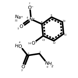 NCC(=O)O.O=[N+]([O-])c1ccccc1[O-].[Na+]